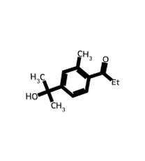 CCC(=O)c1ccc(C(C)(C)O)cc1C